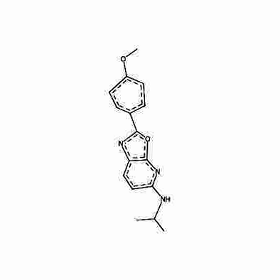 COc1ccc(-c2nc3ccc(NC(C)C)nc3o2)cc1